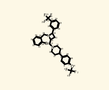 FC(F)(F)Oc1ccc(C2CCN(CC3CC(c4cccc(C(F)(F)F)c4)N3Cc3ccccc3Br)CC2)cc1